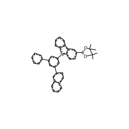 CC1(C)OB(c2ccc3c(c2)c2ccccc2n3-c2cc(-c3ccccc3)cc(-c3ccc4ccccc4c3)c2)OC1(C)C